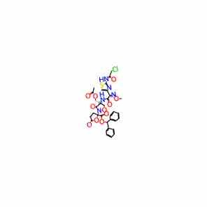 CO/N=C(\C(=O)N[C@@]1(COC(C)=O)CON(C2(C(=O)OC(c3ccccc3)c3ccccc3)CCC(=O)O2)C1=O)c1csc(NC(=O)CCl)n1